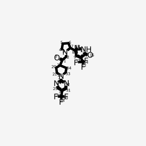 O=C(CN1CCCC1c1cc(C(F)(F)F)c(=O)[nH]n1)C1CCN(c2ncc(C(F)(F)F)cn2)CC1